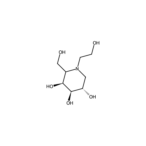 OCCN1C[C@H](O)[C@@H](O)[C@@H](O)C1CO